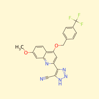 COc1ccc2c(OCc3ccc(C(F)(F)F)cc3)cc(-c3nn[nH]c3C#N)nc2c1